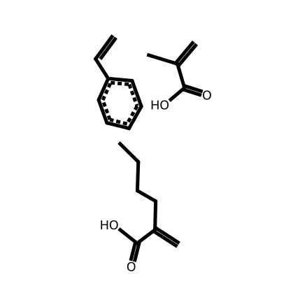 C=C(C)C(=O)O.C=C(CCCC)C(=O)O.C=Cc1ccccc1